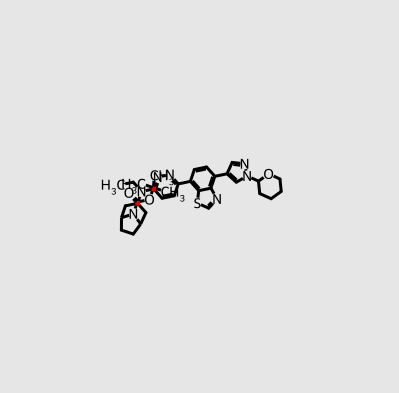 CCN(c1ccc(-c2ccc(-c3cnn(C4CCCCO4)c3)c3ncsc23)nn1)C1CC2CCC(C1)N2C(=O)OC(C)(C)C